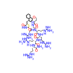 N=C(N)NCCC[C@H](NC(=O)[C@H](CCCNC(=N)N)NC(=O)[C@H](CCCNC(=N)N)NC(=O)[C@H](CCCNC(=N)N)NC(=O)[C@H](CCCNC(=N)N)NC(=O)CCCOc1ccc(/C=C2\SC(=O)NC2=O)c2ccccc12)C(N)=O